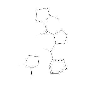 CC(C)C1CCCN1C(=O)C1CCCC1C(O[C@H]1CN[C@H](C(C)C)C1)c1ccccc1